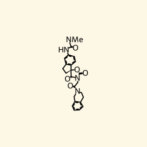 CNC(=O)Nc1ccc2c(c1)CC[C@]21OC(=O)N(CC(=O)N2CCc3ccccc3C2)C1=O